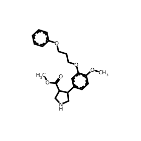 COC(=O)C1CNCC1c1ccc(OC)c(OCCCOc2ccccc2)c1